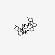 Cc1ccc2c3ccccc3n(-c3cc(-c4ccccc4C#N)c(-n4c5ccccc5c5ccc(C)cc54)cn3)c2c1